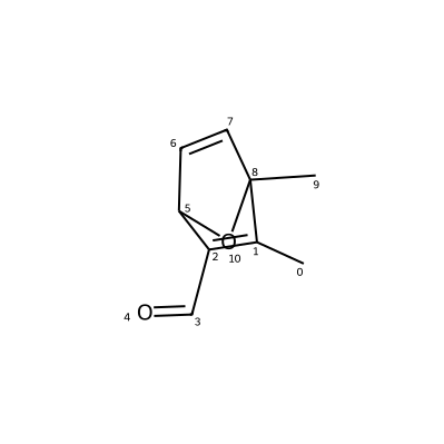 CC1=C(C=O)C2C=CC1(C)O2